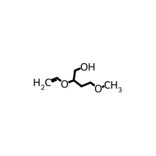 C=COC(CO)CCOC